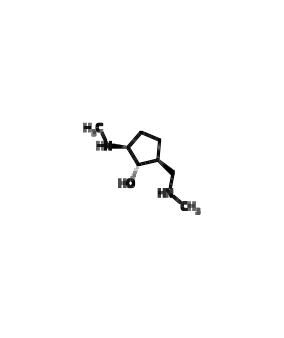 CNC[C@@H]1CC[C@H](NC)[C@H]1O